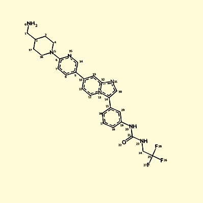 NCC1CCN(c2ccc(-c3ccn4c(-c5cccc(NC(=O)NCC(F)(F)F)c5)cnc4c3)cn2)CC1